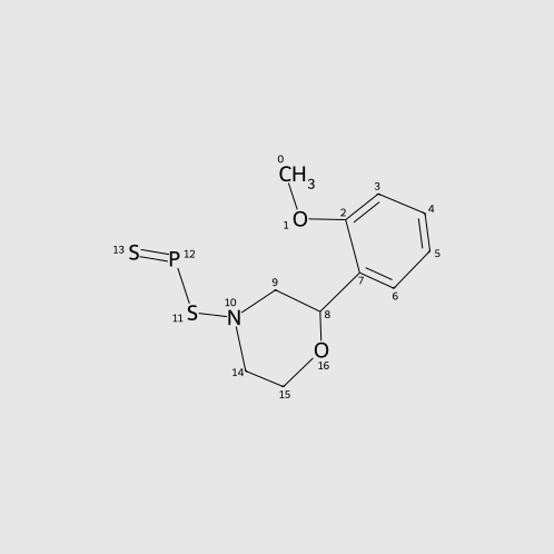 COc1ccccc1C1CN(SP=S)CCO1